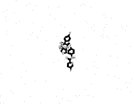 C=C1N[C@@]2(c3cc(NC(=O)c4ccc(F)cn4)ccc3F)COC[C@H]2S(=O)(=O)[C@]1(C)c1ccc(F)cc1